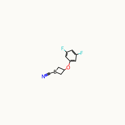 N#CB1CC(Oc2cc(F)cc(F)c2)C1